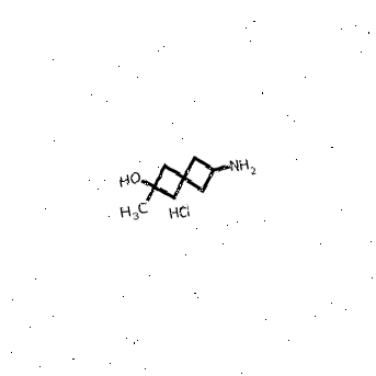 CC1(O)CC2(CC(N)C2)C1.Cl